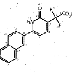 CCOC(=O)C(F)(F)c1ccc(-c2ccc3ccccc3c2)[nH]c1=O